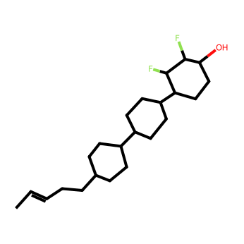 C/C=C/CCC1CCC(C2CCC(C3CCC(O)C(F)C3F)CC2)CC1